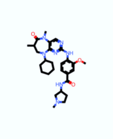 COc1cc(C(=O)NC2CCN(C)C2)ccc1Nc1ncc2c(n1)N(C1CCCCC1)CC(C)C(=O)N2C